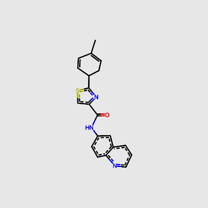 CC1=CCC(c2nc(C(=O)Nc3ccc4ncccc4c3)cs2)C=C1